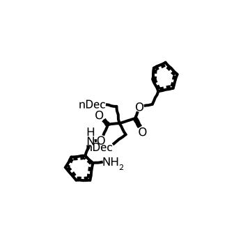 CCCCCCCCCCCC(CCCCCCCCCCC)(C(=O)OCc1ccccc1)C(=O)ONc1ccccc1N